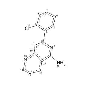 Nc1nc(-c2ccccc2Cl)cc2ncccc12